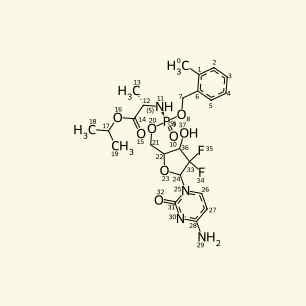 Cc1ccccc1CO[P@@](=O)(N[C@@H](C)C(=O)OC(C)C)OCC1OC(n2ccc(N)nc2=O)C(F)(F)C1O